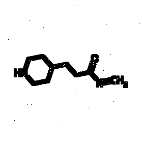 C=NC(=O)CCC1CCNCC1